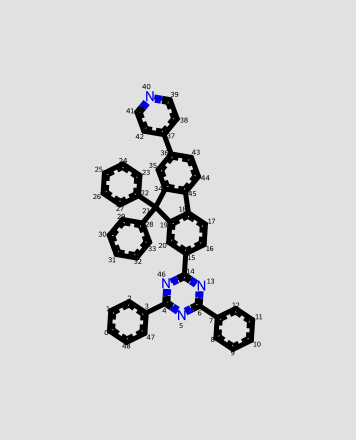 c1ccc(-c2nc(-c3ccccc3)nc(-c3ccc4c(c3)C(c3ccccc3)(c3ccccc3)c3cc(-c5ccncc5)ccc3-4)n2)cc1